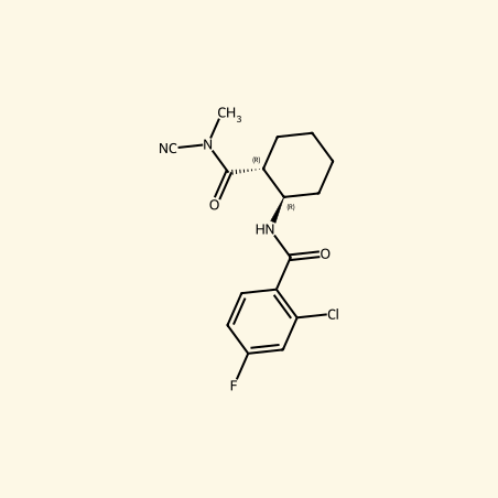 CN(C#N)C(=O)[C@@H]1CCCC[C@H]1NC(=O)c1ccc(F)cc1Cl